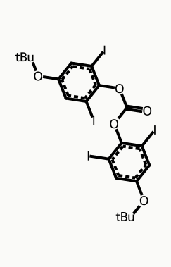 CC(C)(C)Oc1cc(I)c(OC(=O)Oc2c(I)cc(OC(C)(C)C)cc2I)c(I)c1